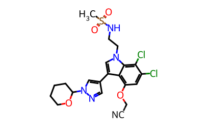 CS(=O)(=O)NCCn1cc(-c2cnn(C3CCCCO3)c2)c2c(OCC#N)cc(Cl)c(Cl)c21